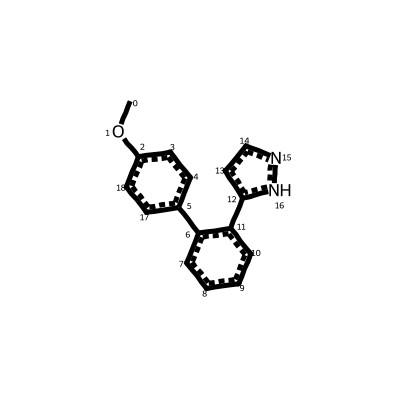 COc1ccc(-c2ccccc2-c2ccn[nH]2)cc1